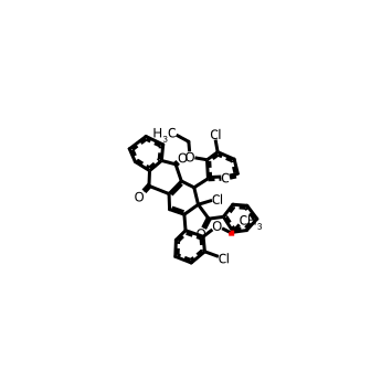 CCOc1c(Cl)cccc1C1=CC2=C(C(=O)c3ccccc3C2=O)C(c2cccc(Cl)c2OCC)C1(Cl)C(=O)c1ccccc1